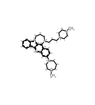 CN1CCN(CCCN2CCCn3c4ccccc4c4nc5cc(N6CCCN(C)CC6)ccc5c2c43)CC1